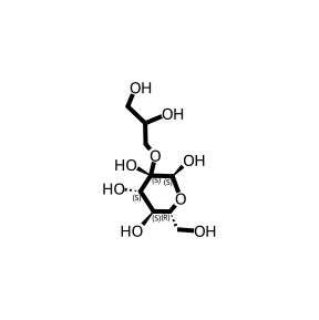 OCC(O)CO[C@]1(O)[C@@H](O)O[C@H](CO)[C@@H](O)[C@@H]1O